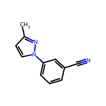 Cc1ccn(-c2cccc(C#N)c2)n1